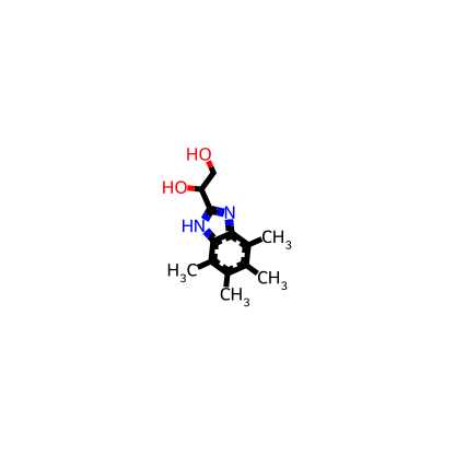 Cc1c(C)c(C)c2[nH]c(C(O)CO)nc2c1C